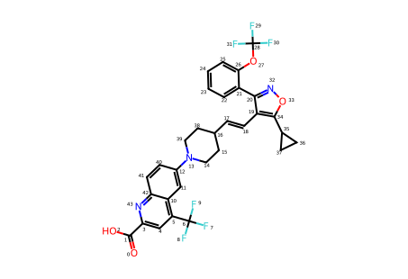 O=C(O)c1cc(C(F)(F)F)c2cc(N3CCC(C=Cc4c(-c5ccccc5OC(F)(F)F)noc4C4CC4)CC3)ccc2n1